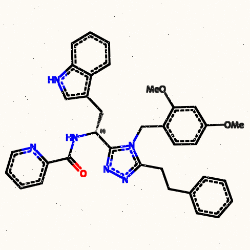 COc1ccc(Cn2c(CCc3ccccc3)nnc2[C@@H](Cc2c[nH]c3ccccc23)NC(=O)c2ccccn2)c(OC)c1